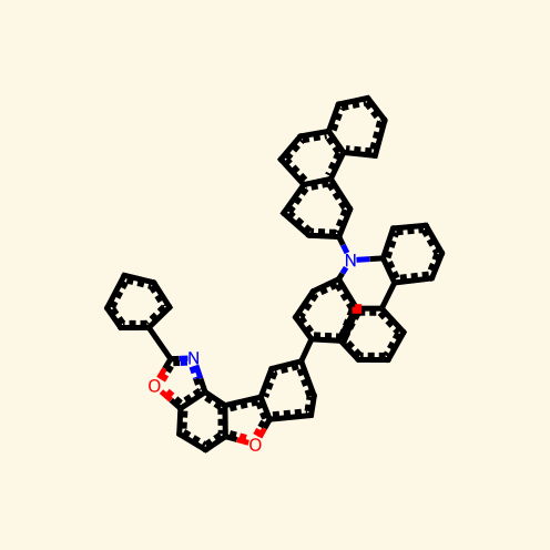 c1ccc(-c2nc3c(ccc4oc5ccc(-c6ccc(N(c7ccc8ccc9ccccc9c8c7)c7ccccc7-c7ccccc7)cc6)cc5c43)o2)cc1